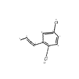 CC=Cc1cc(Cl)ccc1Cl